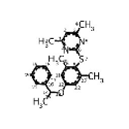 Cc1cc(C)nc(Sc2c(C)cc(OC(C)c3ccccc3)cc2C)n1